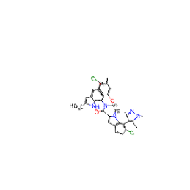 Cc1cc(O[C@@H]2[C@@H](C)n3c(cc4ccc(Cl)c(-c5c(C)nn(C)c5C)c43)C(=O)N2c2cc(C(C)C)cc3cc(C(=O)O)[nH]c23)cc(C)c1Cl